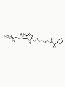 NC(=O)C(CCCCNC(=O)O)NC(=O)COCCOCCNC(=O)C1CCCC1